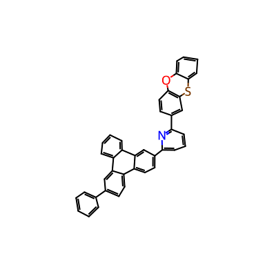 c1ccc(-c2ccc3c4ccc(-c5cccc(-c6ccc7c(c6)Sc6ccccc6O7)n5)cc4c4ccccc4c3c2)cc1